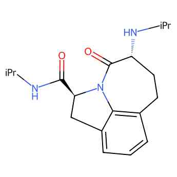 CC(C)NC(=O)[C@@H]1Cc2cccc3c2N1C(=O)[C@H](NC(C)C)CC3